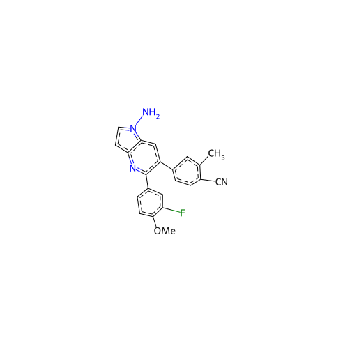 COc1ccc(-c2nc3ccn(N)c3cc2-c2ccc(C#N)c(C)c2)cc1F